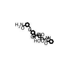 NC(=O)c1cccc(COc2ccc3c(C(=O)CC(CCn4nnc5ccccc5c4=O)(C(=O)O)C(=O)O)noc3c2)c1